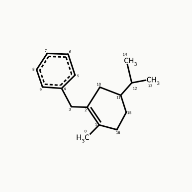 CC1=C(Cc2ccccc2)CC(C(C)C)CC1